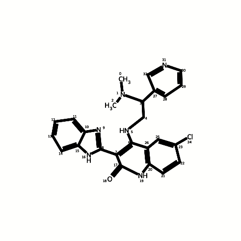 CN(C)C(CNc1c(-c2nc3ccccc3[nH]2)c(=O)[nH]c2ccc(Cl)cc12)c1cccnc1